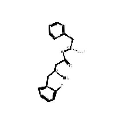 N[C@H](CC(=O)N[C@H](Cc1ccccc1)C(=O)O)Cc1ccccc1F